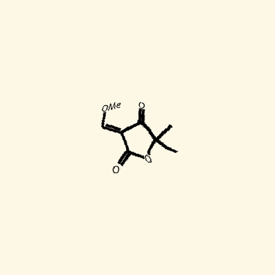 CO/C=C1/C(=O)OC(C)(C)C1=O